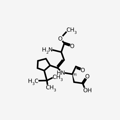 COC(=O)C(N)C=C(N[C@@H](C=O)CC(=O)O)C1CCCC1C(C)(C)C